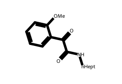 CCCCCCCNC(=O)C(=O)c1ccccc1OC